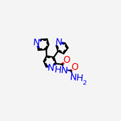 NC(=O)NC(=O)c1nccc(-c2cccnc2)c1-c1cccnc1